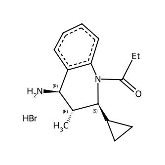 Br.CCC(=O)N1c2ccccc2[C@H](N)[C@@H](C)[C@@H]1C1CC1